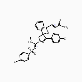 CN/C(=N\S(=O)(=O)c1ccc(Cl)cc1)N1CC(OC/C=C/C(N)=O)(c2ccccc2)C(c2ccc(Cl)cc2)=N1